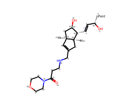 CCCCC[C@H](O)/C=C/[C@@H]1[C@H]2CC(CNCCC(=O)N3CCOCC3)=C[C@H]2C[C@H]1O